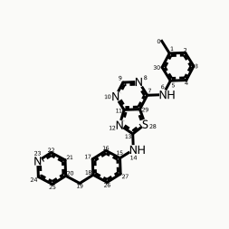 Cc1cccc(Nc2ncnc3nc(Nc4ccc(Cc5ccncc5)cc4)sc23)c1